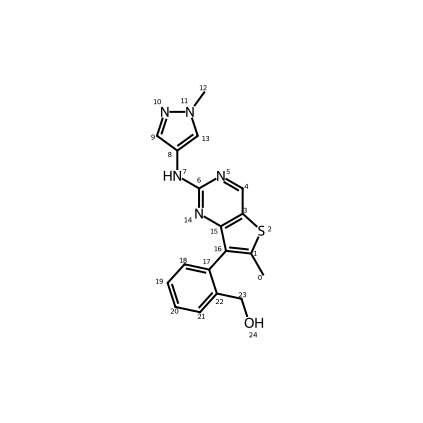 Cc1sc2cnc(Nc3cnn(C)c3)nc2c1-c1ccccc1CO